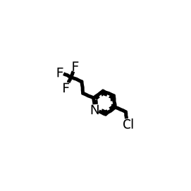 FC(F)(F)CCc1ccc(CCl)cn1